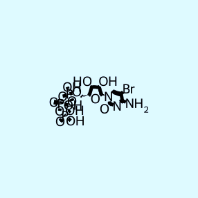 Nc1nc(=O)n([C@@H]2O[C@H](COP(=O)(O)OP(=O)(O)OP(=O)(O)O)[C@H](O)C2O)cc1Br